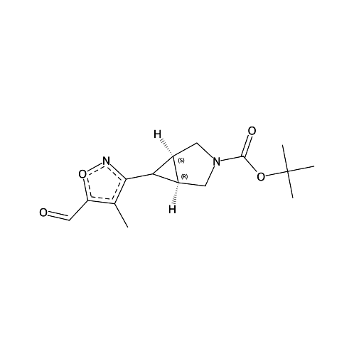 Cc1c(C2[C@H]3CN(C(=O)OC(C)(C)C)C[C@@H]23)noc1C=O